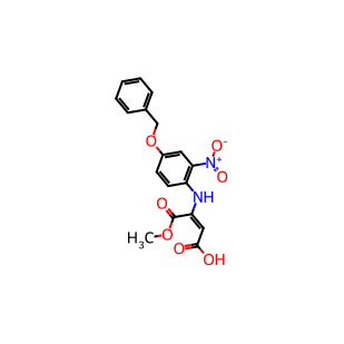 COC(=O)C(=CC(=O)O)Nc1ccc(OCc2ccccc2)cc1[N+](=O)[O-]